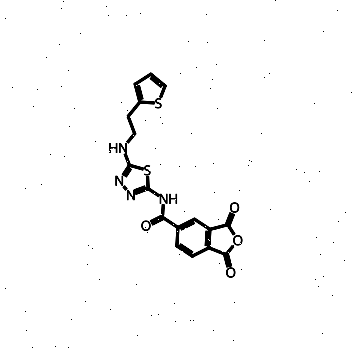 O=C(Nc1nnc(NCCc2cccs2)s1)c1ccc2c(c1)C(=O)OC2=O